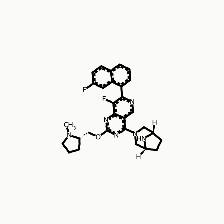 CN1CCC[C@H]1COc1nc(N2C[C@H]3CC[C@@H](C2)N3)c2cnc(-c3cccc4ccc(F)cc34)c(F)c2n1